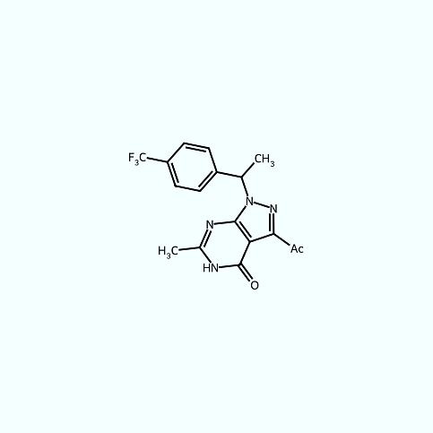 CC(=O)c1nn(C(C)c2ccc(C(F)(F)F)cc2)c2nc(C)[nH]c(=O)c12